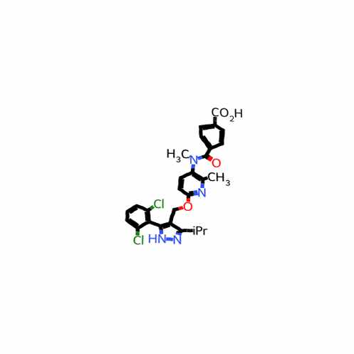 Cc1nc(OCc2c(C(C)C)n[nH]c2-c2c(Cl)cccc2Cl)ccc1N(C)C(=O)c1ccc(C(=O)O)cc1